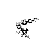 Cc1c(-c2nc(Nc3ccc(C4CCN(C(=O)OC(C)(C)C)CC4)nn3)ncc2F)sc2c1C(=O)N(C)CC21CC1